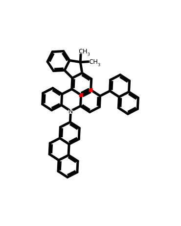 CC1(C)c2ccccc2-c2c(-c3ccccc3N(c3ccc(-c4cccc5ccccc45)cc3)c3ccc4c(ccc5ccccc54)c3)cccc21